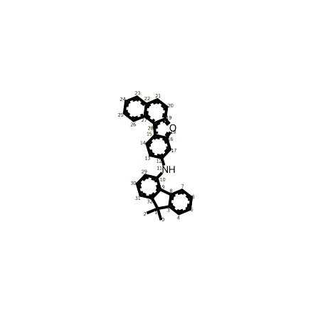 CC1(C)c2ccccc2-c2c(Nc3ccc4c(c3)oc3ccc5ccccc5c34)cccc21